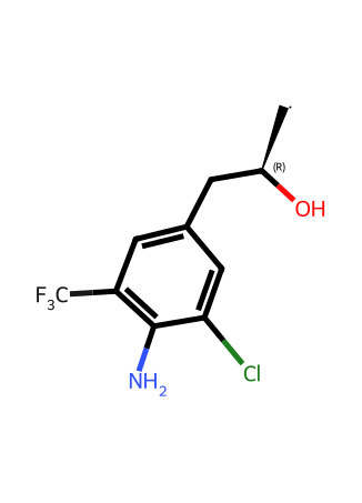 [CH2][C@@H](O)Cc1cc(Cl)c(N)c(C(F)(F)F)c1